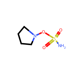 NS(=O)(=O)ON1CCCC1